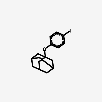 Ic1ccc(OC23CC4CC(CC(C4)C2)C3)cc1